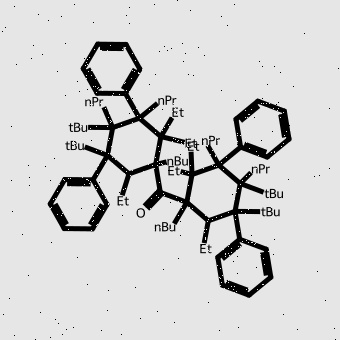 CCCCC1(C(=O)C2(CCCC)C(CC)C(c3ccccc3)(C(C)(C)C)C(CCC)(C(C)(C)C)C(CCC)(c3ccccc3)C2(CC)CC)C(CC)C(c2ccccc2)(C(C)(C)C)C(CCC)(C(C)(C)C)C(CCC)(c2ccccc2)C1(CC)CC